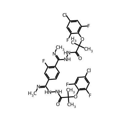 C/N=C(\NNC(=O)C(C)(C)Oc1c(F)cc(Cl)cc1F)c1ccc(/C(=N/C)NNC(=O)C(C)(C)Oc2c(F)cc(Cl)cc2F)c(F)c1